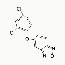 Clc1ccc(Oc2ccc3nonc3c2)c(Cl)c1